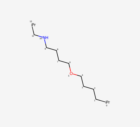 CC(C)CCCCOCCCCNCC(C)C